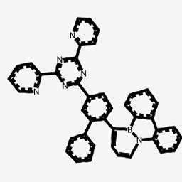 C1=CN2B(C(c3ccc(-c4nc(-c5ccccn5)nc(-c5ccccn5)n4)cc3-c3ccccc3)=C1)c1ccccc1-c1ccccc12